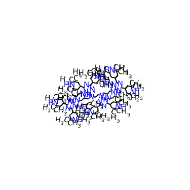 CCCCNN1C(C2CC(C)(C)NC(C)(C)C2)=NC(C2CC(C)(C)NC(C)(C)C2)=NC1NCCCN(CCN(CCCNC1N=C(C2CC(C)(C)NC(C)(C)C2)N=C(C2CC(C)(C)NC(C)(C)C2)N1NCCCC)C1N=C(C2CC(C)(C)NC(C)(C)C2)N=C(C2CC(C)(C)NC(C)(C)C2)N1NCCCC)C1N=C(C2CC(C)(C)NC(C)(C)C2)N=C(C2CC(C)(C)NC(C)(C)C2)N1NCCCC